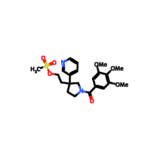 COc1cc(C(=O)N2CCC(CCOS(C)(=O)=O)(c3cccnc3)C2)cc(OC)c1OC